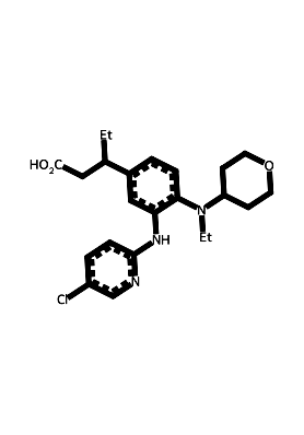 CCC(CC(=O)O)c1ccc(N(CC)C2CCOCC2)c(Nc2ccc(Cl)cn2)c1